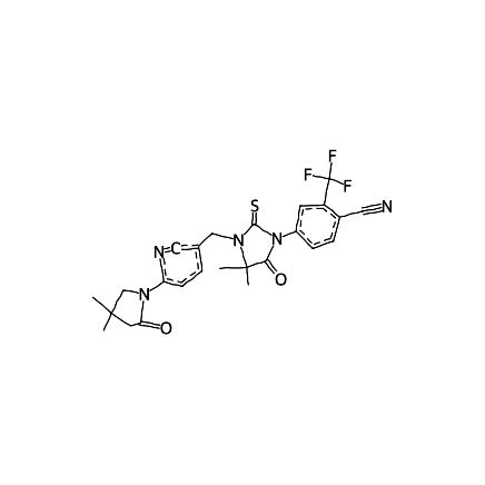 CC1(C)CC(=O)N(c2ccc(CN3C(=S)N(c4ccc(C#N)c(C(F)(F)F)c4)C(=O)C3(C)C)cn2)C1